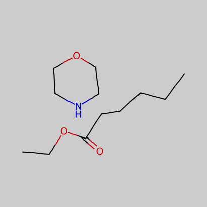 C1COCCN1.CCCCCC(=O)OCC